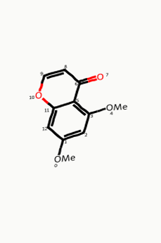 COc1cc(OC)c2c(=O)ccoc2c1